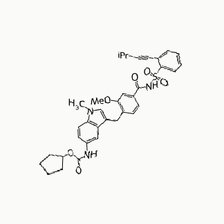 COc1cc(C(=O)NS(=O)(=O)c2ccccc2C#CC(C)C)ccc1Cc1cn(C)c2ccc(NC(=O)OC3CCCC3)cc12